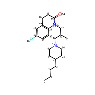 CCCCC1CCN(CC(C)CN2C(=O)CCc3cc(F)ccc32)CC1